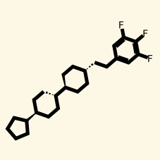 Fc1cc(CC[C@H]2CC[C@H]([C@H]3CC[C@H](C4CCCC4)CC3)CC2)cc(F)c1F